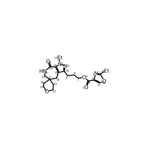 CCc1nc(C(=O)OCCCc2nn(CC)c3c2CC2(CCOCC2)CNC3=O)co1